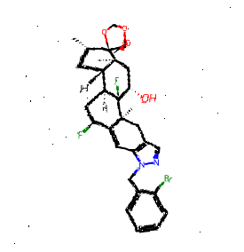 C[C@H]1C[C@H]2[C@@H]3C[C@H](F)C4=Cc5c(cnn5Cc5ccccc5Br)C[C@]4(C)[C@@]3(F)[C@@H](O)C[C@]2(C)[C@]12OCOC21COCO1